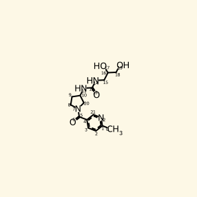 Cc1ccc(C(=O)N2CCC(NC(=O)NCC(O)CO)C2)cn1